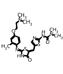 Cc1cc(OCCN(C)C)ccc1/N=C1/NC(=O)/C(=C/c2cnc(NC(=O)N(C)C)s2)S1